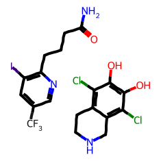 NC(=O)CCCc1ncc(C(F)(F)F)cc1I.Oc1c(O)c(Cl)c2c(c1Cl)CCNC2